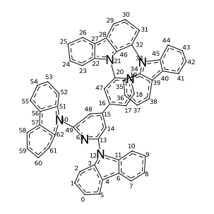 c1ccc2c(c1)c1ccccc1n2-c1cc(-c2ccnc(-n3c4ccccc4c4cccc(-n5c6ccccc6c6ccccc65)c43)c2)cc(-n2c3ccccc3c3ccccc32)n1